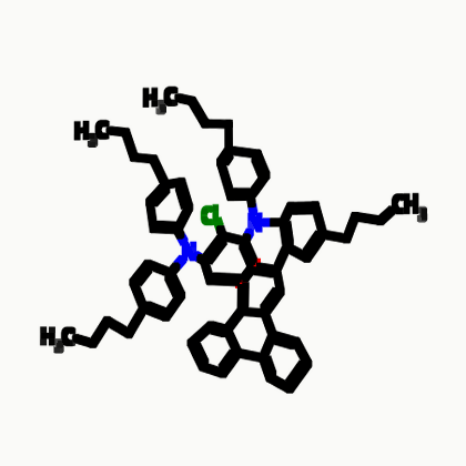 CCCCc1ccc(N(c2ccc(CCCC)cc2)c2cccc(N(c3ccc(CCCC)cc3)c3ccc(CCCC)cc3-c3ccc4c5ccccc5c5ccccc5c4c3)c2Cl)cc1